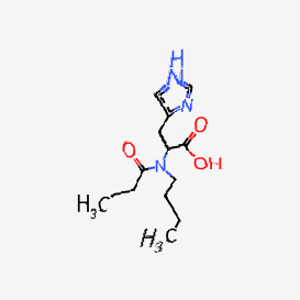 CCCCN(C(=O)CCC)C(Cc1c[nH]cn1)C(=O)O